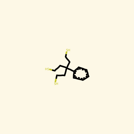 SCCC(CCS)(CCS)c1ccccc1